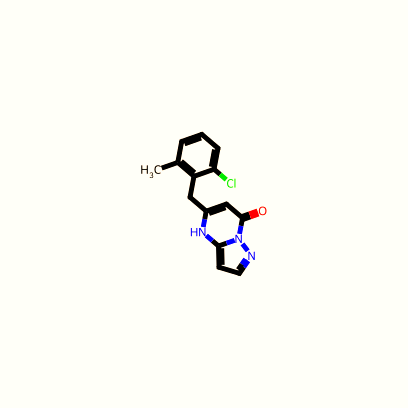 Cc1cccc(Cl)c1Cc1cc(=O)n2nccc2[nH]1